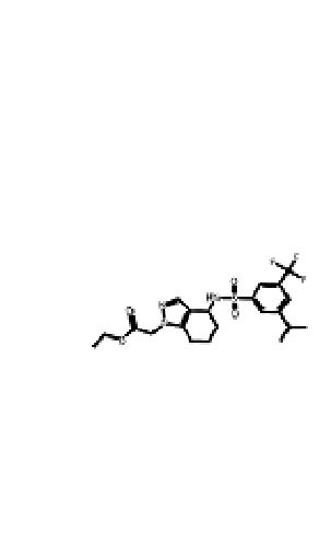 CCOC(=O)Cn1ncc2c1CCCC2NS(=O)(=O)c1cc(C(C)C)cc(C(F)(F)F)c1